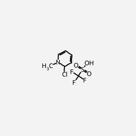 CN1C=CC=CC1Cl.O=S(=O)(O)C(F)(F)F